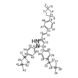 CC(C)(C)CC(C)(C)c1ccc(C=CC2=CC(c3ccc(C(C)(C)CC(C)(C)C)cc3)N(c3ccc(C(C)(C)CC(C)(C)C)cc3)N2)cc1